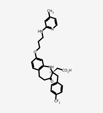 Cc1ccnc(NCCCOc2ccc3c(c2)N[C@](CC(=O)O)(Cc2ccc(C(F)(F)F)cc2)C(=O)CC3)c1